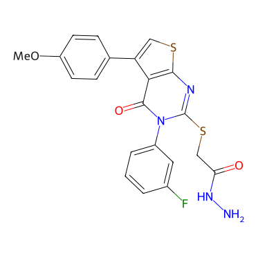 COc1ccc(-c2csc3nc(SCC(=O)NN)n(-c4cccc(F)c4)c(=O)c23)cc1